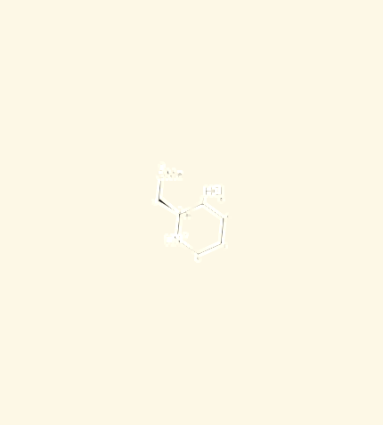 COC[C@H]1CCCCN1.Cl